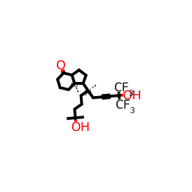 CC(C)(O)CCC[C@](C)(CC#CC(O)(C(F)(F)F)C(F)(F)F)C1CCC2C(=O)CCC[C@@]21C